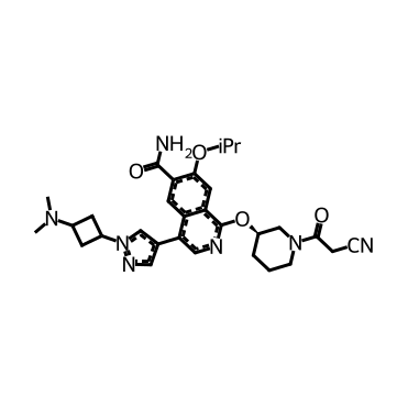 CC(C)Oc1cc2c(O[C@@H]3CCCN(C(=O)CC#N)C3)ncc(-c3cnn(C4CC(N(C)C)C4)c3)c2cc1C(N)=O